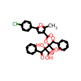 Cc1oc(-c2ccc(Cl)cc2)cc1C(=O)OC(C(=O)O)(C(=O)c1ccccc1)C(O)(C(=O)O)C(=O)c1ccccc1